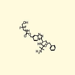 CC(C)(N)C(=O)N[C@H](COCc1ccccc1)c1nnc2cc(COC(=O)NCC(F)(F)CO)ccn12